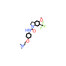 COc1cc2c(cc1C(F)(F)F)N(C(=O)Nc1ccc(OCCN(C)C)cc1)CC2